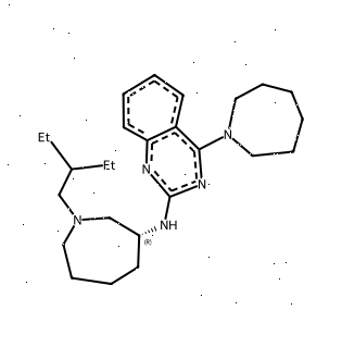 CCC(CC)CN1CCCC[C@@H](Nc2nc(N3CCCCCC3)c3ccccc3n2)C1